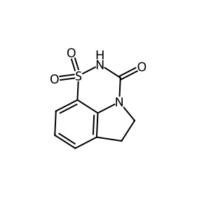 O=C1NS(=O)(=O)c2cccc3c2N1CC3